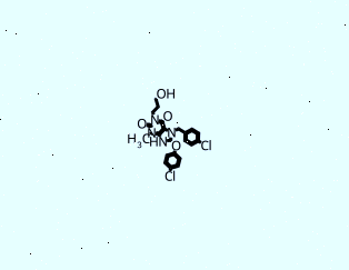 Cn1c2c(c(=O)n(CCCO)c1=O)N(Cc1ccc(Cl)cc1)C(Oc1ccc(Cl)cc1)N2